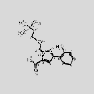 Cc1cnccc1-c1cc(C(=O)O)n(COCC[Si](C)(C)C)n1